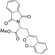 COC(=O)C(CC1=Cc2ccccc2OO1)N1C(=O)c2ccccc2C1=O